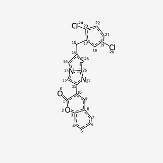 O=c1oc2ccccc2cc1-c1cn2cc(Cc3cc(Cl)ccc3Cl)sc2n1